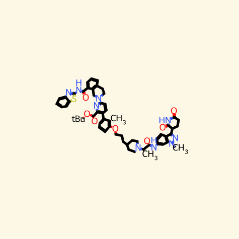 Cc1c(OCCCC2CCN([C@@H](C)C(=O)Nc3ccc4c(C5CCC(=O)NC5=O)nn(C)c4c3)CC2)cccc1-c1ccc(N2CCc3cccc(C(=O)Nc4nc5ccccc5s4)c3C2)nc1C(=O)OC(C)(C)C